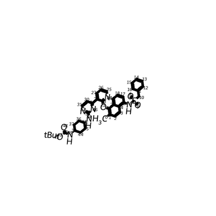 Cc1ccc2c(NS(=O)(=O)Cc3ccccc3)cccc2c1Oc1ncccc1-c1ccnc(N[C@H]2CC[C@H](NC(=O)OC(C)(C)C)CC2)n1